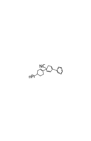 CCCC1CC=C(C2(C#N)C=CC(c3ccccc3)=CC2)CC1